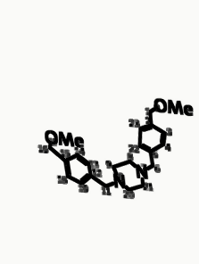 COCc1ccc(CN2CCN(Cc3ccc(COC)cc3)CC2)cc1